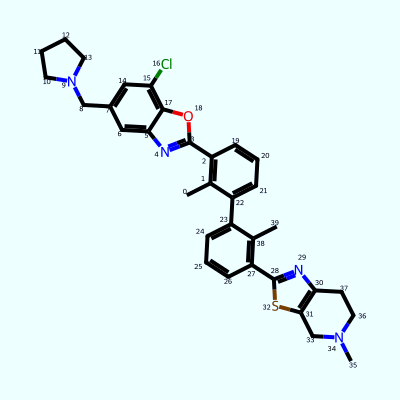 Cc1c(-c2nc3cc(CN4CCCC4)cc(Cl)c3o2)cccc1-c1cccc(-c2nc3c(s2)CN(C)CC3)c1C